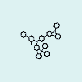 CC1C=C(c2ccccc2)C=CC1N(c1ccc(-c2ccc3c(c2)c2ccccc2n3-c2ccccc2)cc1)c1ccc2c(c1)C(c1ccccc1)(c1ccccc1)c1ccccc1-2